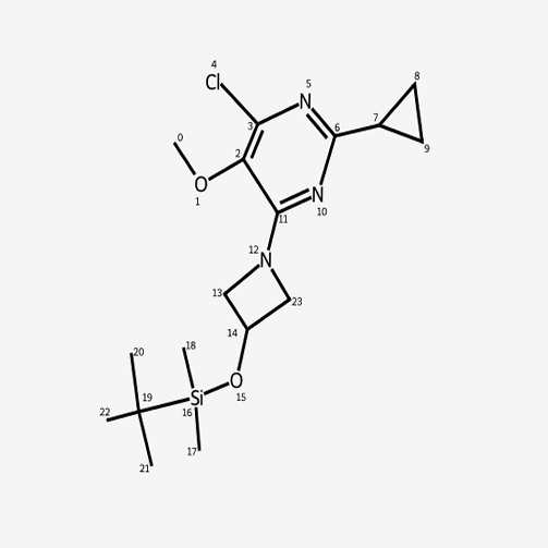 COc1c(Cl)nc(C2CC2)nc1N1CC(O[Si](C)(C)C(C)(C)C)C1